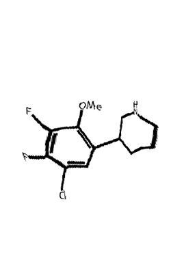 COc1c(C2CCCNC2)cc(Cl)c(F)c1F